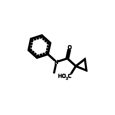 CN(C(=O)C1(C(=O)O)CC1)c1ccccc1